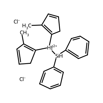 CC1=[C]([Hf+2]([C]2=C(C)C=CC2)[SiH](c2ccccc2)c2ccccc2)CC=C1.[Cl-].[Cl-]